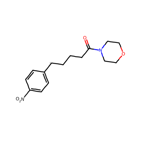 O=C(CCC[C]c1ccc([N+](=O)[O-])cc1)N1CCOCC1